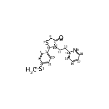 CSc1ccc(C2SCC(=O)N2CCc2ccccn2)cc1